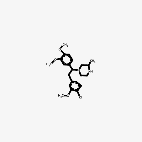 COc1cc(CC(c2ccc(OC)c(OC)c2)N2CCNC(C)C2)ccc1Cl